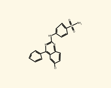 NS(=O)(=O)c1ccc(Nc2nc(-c3ccccc3)c3cc(Cl)ccc3n2)cc1